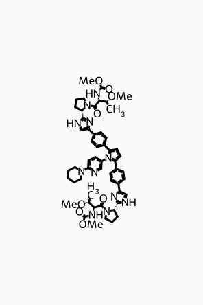 COC(=O)N[C@H](C(=O)N1CCC[C@H]1c1nc(-c2ccc(-c3ccc(-c4ccc(-c5c[nH]c([C@@H]6CCCN6C(=O)[C@@H](NC(=O)OC)[C@@H](C)OC)n5)cc4)n3-c3ccc(N4CCCCC4)nc3)cc2)c[nH]1)[C@@H](C)OC